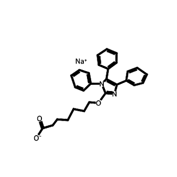 O=C([O-])CCCCCCOc1nc(-c2ccccc2)c(-c2ccccc2)n1-c1ccccc1.[Na+]